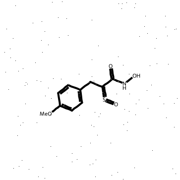 COc1ccc(CC(=S=O)C(=O)NO)cc1